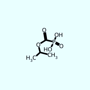 CC(C)OC(=O)P(=O)(O)O